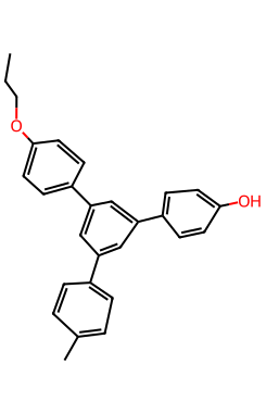 CCCOc1ccc(-c2cc(-c3ccc(C)cc3)cc(-c3ccc(O)cc3)c2)cc1